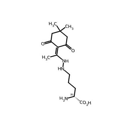 CC(NNCCC[C@@H](N)C(=O)O)=C1C(=O)CC(C)(C)CC1=O